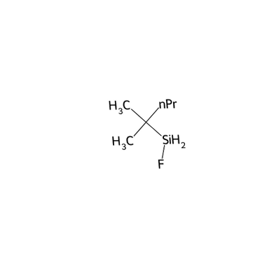 CCCC(C)(C)[SiH2]F